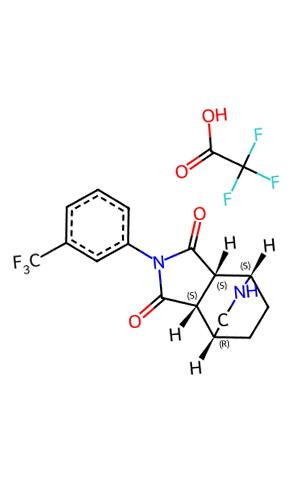 O=C(O)C(F)(F)F.O=C1[C@H]2[C@H]3CC[C@H](NC3)[C@H]2C(=O)N1c1cccc(C(F)(F)F)c1